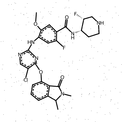 COc1cc(C(=O)N[C@H]2CCNC[C@H]2F)c(F)cc1Nc1ncc(Cl)c(Oc2cccc3c2C(=O)N(C)C3C)n1